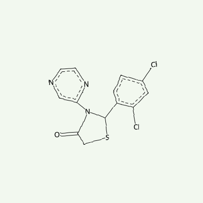 O=C1CSC(c2ccc(Cl)cc2Cl)N1c1cnccn1